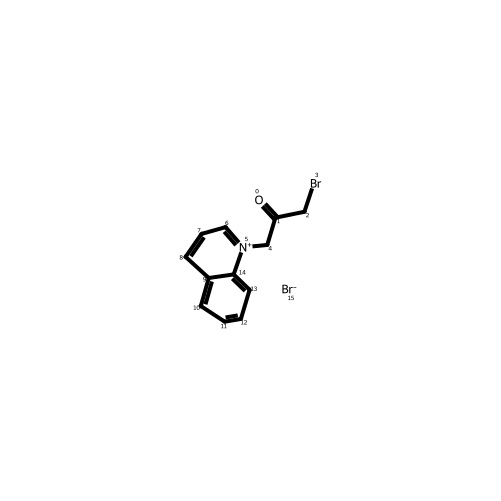 O=C(CBr)C[n+]1cccc2ccccc21.[Br-]